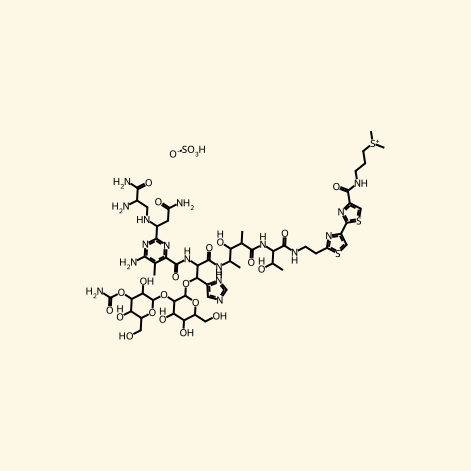 Cc1c(N)nc(C(CC(N)=O)NCC(N)C(N)=O)nc1C(=O)NC(C(=O)NC(C)C(O)C(C)C(=O)NC(C(=O)NCCc1nc(-c2nc(C(=O)NCCC[S+](C)C)cs2)cs1)C(C)O)C(OC1OC(CO)C(O)C(O)C1OC1OC(CO)C(O)C(OC(N)=O)C1O)c1cnc[nH]1.O=S(=O)([O-])O